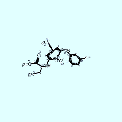 COC(=O)[C@H](CC(C)C)Nc1cc([N+](=O)[O-])cc(Nc2cccc(F)c2)[n+]1[O-]